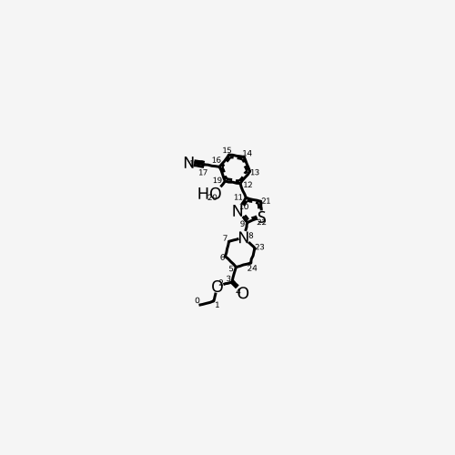 CCOC(=O)C1CCN(c2nc(-c3cccc(C#N)c3O)cs2)CC1